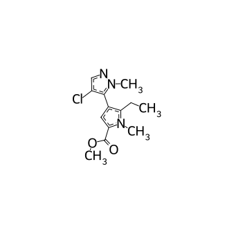 CCc1c(-c2c(Cl)cnn2C)cc(C(=O)OC)n1C